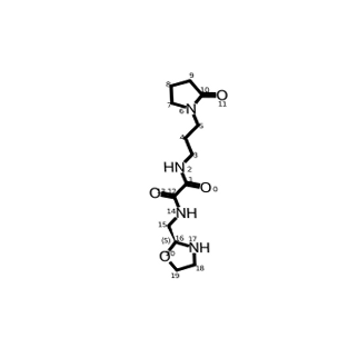 O=C(NCCCN1CCCC1=O)C(=O)NC[C@H]1NCCO1